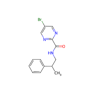 CC(CNC(=O)c1ncc(Br)cn1)c1ccccc1